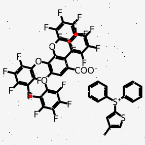 Cc1csc([S+](c2ccccc2)c2ccccc2)c1.O=C([O-])c1cc(Oc2c(F)c(F)c(F)c(F)c2F)c(Oc2c(F)c(F)c(F)c(F)c2F)c(Oc2c(F)c(F)c(F)c(F)c2F)c1-c1c(F)c(F)c(F)c(F)c1F